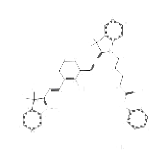 CC[N+]1=C(/C=C/C2=C(Cl)C(C=C=C3N(CCCCC(=O)Oc4ccccc4)c4ccccc4C3(C)C)CCC2)C(C)(C)c2ccccc21.[Cl-]